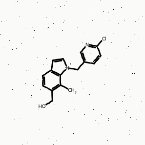 Cc1c(CO)ccc2ccn(Cc3ccc(Cl)nc3)c12